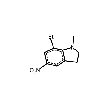 CCc1cc([N+](=O)[O-])cc2c1N(C)CC2